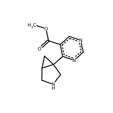 COC(=O)c1cn[c]nc1C12CNCC1C2